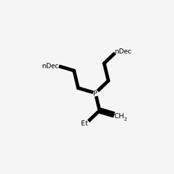 C=C(CC)P(CCCCCCCCCCCC)CCCCCCCCCCCC